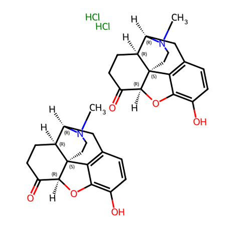 CN1CC[C@]23c4c5ccc(O)c4O[C@H]2C(=O)CC[C@H]3[C@H]1C5.CN1CC[C@]23c4c5ccc(O)c4O[C@H]2C(=O)CC[C@H]3[C@H]1C5.Cl.Cl